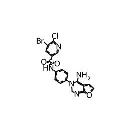 NC1=c2ccoc2=NCN1c1ccc(NS(=O)(=O)c2cnc(Cl)c(Br)c2)cc1